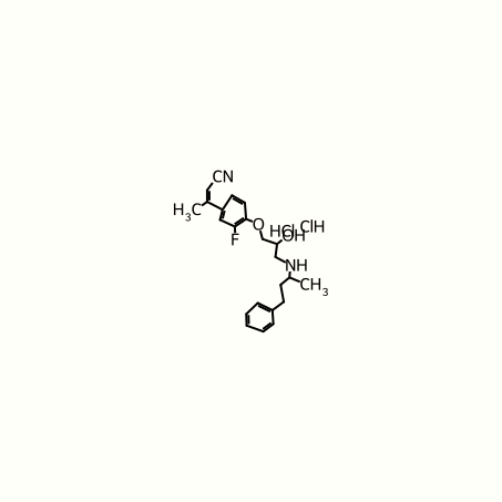 C/C(=C/C#N)c1ccc(OCC(O)CNC(C)CCc2ccccc2)c(F)c1.Cl.Cl